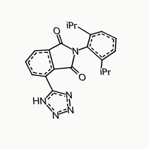 CC(C)c1cccc(C(C)C)c1N1C(=O)c2cccc(-c3nnn[nH]3)c2C1=O